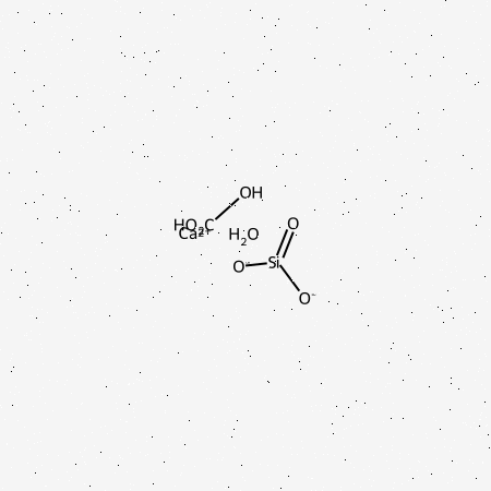 O.O=C(O)O.O=[Si]([O-])[O-].[Ca+2]